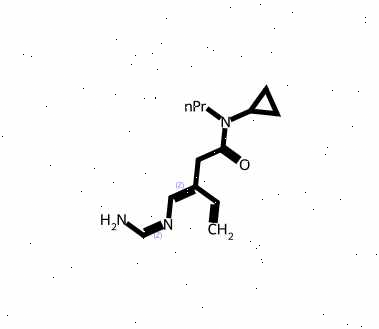 C=C/C(=C\N=C/N)CC(=O)N(CCC)C1CC1